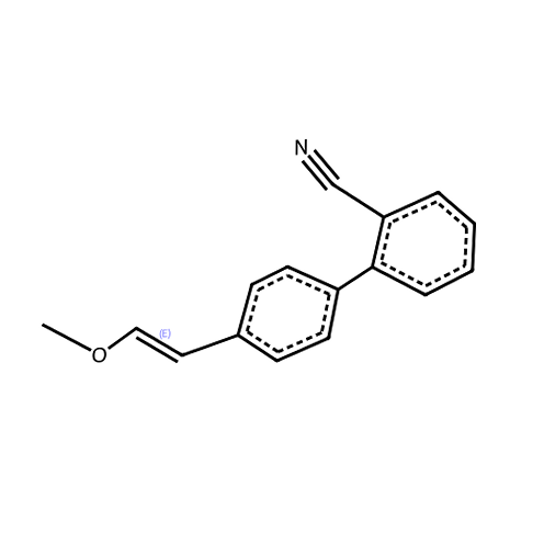 CO/C=C/c1ccc(-c2ccccc2C#N)cc1